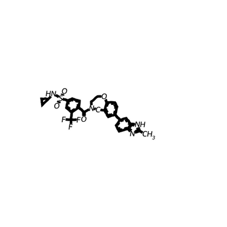 Cc1nc2ccc(-c3ccc4c(c3)CN(C(=O)c3ccc(S(=O)(=O)NC5CC5)cc3C(F)(F)F)CCO4)cc2[nH]1